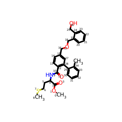 COC(=O)C(CCSC)NC(=O)c1ccc(COCc2ccccc2CO)cc1-c1ccccc1C